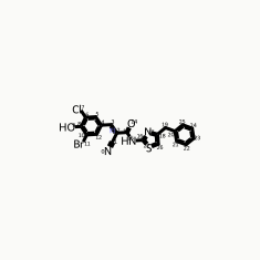 N#C/C(=C\c1cc(Cl)c(O)c(Br)c1)C(=O)Nc1nc(Cc2ccccc2)cs1